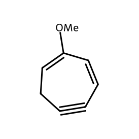 COC1=CCC#CC=C1